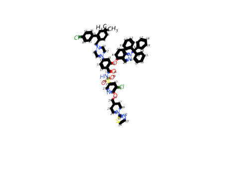 CC1(C)CCC(CN2CCN(c3ccc(C(=O)NS(=O)(=O)c4cnc(OCC5CCN(c6nccs6)CC5)c(Cl)c4)c(Oc4cccc5c4cnn5C(c4ccccc4)(c4ccccc4)c4ccccc4)c3)CC2)=C(c2ccc(Cl)cc2)C1